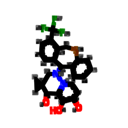 O=C1c2c(O)c(=O)ccn2N(C2c3ccccc3SCc3c2cccc3C(F)(F)F)CC12CC2